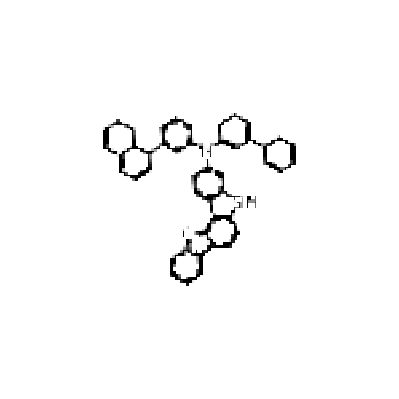 C[SiH]1c2cc(N(C3=CC(C4C=CC=CC4)=CCC3)c3cccc(C4C=CC=C5C=CCCC54)c3)ccc2-c2c1ccc1c2oc2ccccc21